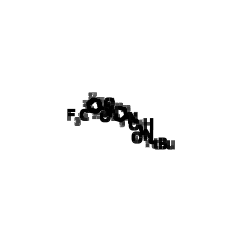 CC(C)(C)CNC(=O)CON=C1CCN(S(=O)(=O)c2cccc(C(F)(F)F)c2)CC1